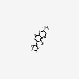 Nc1cnc2c(Br)c(C3=NCCN3)ccc2n1